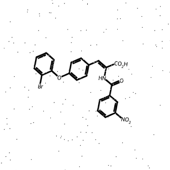 O=C(O)C(=Cc1ccc(Oc2ccccc2Br)cc1)NC(=O)c1cccc([N+](=O)[O-])c1